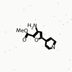 COC(=O)c1oc(-c2ccncc2)cc1N